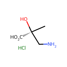 C[C@](O)(CN)C(=O)O.Cl